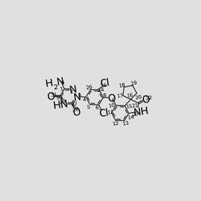 Nc1nn(-c2cc(Cl)c(Oc3cccc4c3C3(CCCC3)C(=O)N4)c(Cl)c2)c(=O)[nH]c1=O